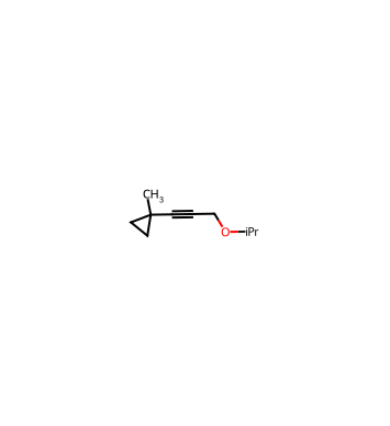 CC(C)OCC#CC1(C)CC1